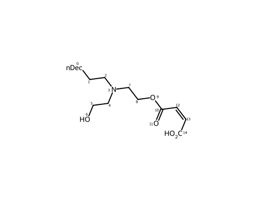 CCCCCCCCCCCCN(CCO)CCOC(=O)/C=C\C(=O)O